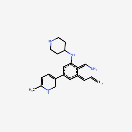 C=C/C=c1/cc(C2=CC=C(C)NC2)cc(NC2CCNCC2)/c1=C/N